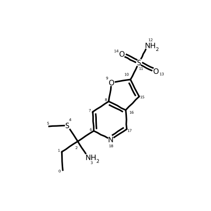 CCC(N)(SC)c1cc2oc(S(N)(=O)=O)cc2cn1